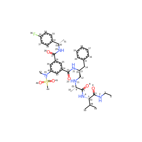 CCNC(=O)[C@@H](NC(=O)[C@H](C)NC[C@H](Cc1ccccc1)NC(=O)c1cc(C(=O)N[C@@H](C)c2ccc(F)cc2)cc(N(C)S(C)(=O)=O)c1)C(C)C